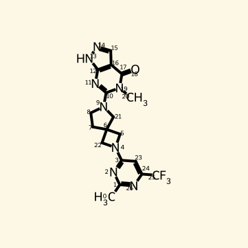 Cc1nc(N2CC3(CCN(c4nc5[nH]ncc5c(=O)n4C)C3)C2)cc(C(F)(F)F)n1